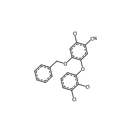 N#Cc1cc(Oc2cccc(Cl)c2Cl)c(OCc2ccccc2)cc1Cl